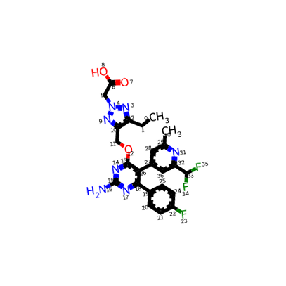 CCc1nn(CC(=O)O)nc1COc1nc(N)nc(-c2ccc(F)cc2)c1-c1cc(C)nc(C(F)F)c1